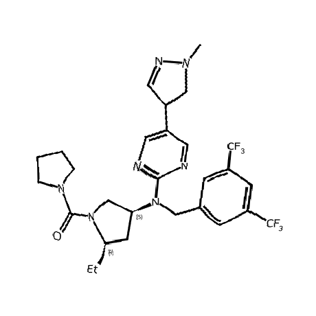 CC[C@@H]1C[C@H](N(Cc2cc(C(F)(F)F)cc(C(F)(F)F)c2)c2ncc(C3C=NN(C)C3)cn2)CN1C(=O)N1CCCC1